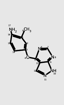 Cc1cc(Oc2ncnc3[nH]ncc23)ccc1N